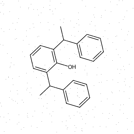 CC(c1ccccc1)c1cccc(C(C)c2ccccc2)c1O